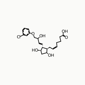 O=C(O)CCC/C=C\C[C@@H]1[C@@H](/C=C/C(O)COc2cccc(Cl)c2)[C@H](O)C[C@@H]1O